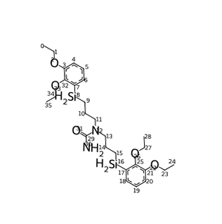 CCOc1cccc([SiH2]CCCN(CCC[SiH2]c2cccc(OCC)c2OCC)C(N)=O)c1OCC